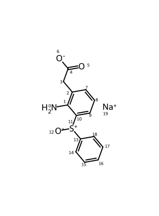 Nc1c(CC(=O)[O-])cccc1[S+]([O-])c1ccccc1.[Na+]